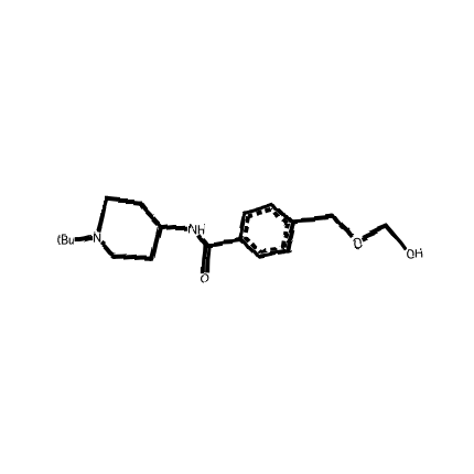 CC(C)(C)N1CCC(NC(=O)c2ccc(COCO)cc2)CC1